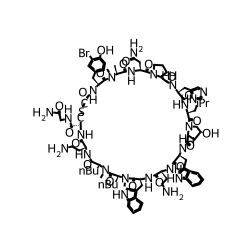 CCCC[C@H]1C(=O)N(C)[C@@H](CCCC)C(=O)N[C@@H](CCN)C(=O)N[C@H](C(=O)NCC(N)=O)CSCC(=O)N[C@@H](Cc2ccc(O)c(Br)c2)C(=O)N(C)[C@@H](C)C(=O)N[C@@H](CC(N)=O)C(=O)N2CCC[C@H]2C(=O)N[C@@H](Cc2cnc[nH]2)C(=O)N[C@@H](CC(C)C)C(=O)N2C[C@H](O)C[C@H]2C(=O)N[C@@H](Cc2c[nH]c3ccccc23)C(=O)N[C@@H](CCN)C(=O)N[C@@H](Cc2c[nH]c3ccccc23)C(=O)N1C